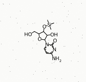 C[Si](C)(C)OC1C(CO)OC(n2ccc(N)nc2=O)C1O